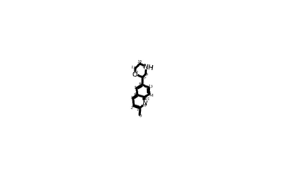 Cc1ccc2cc(C3CNCCO3)ccc2n1